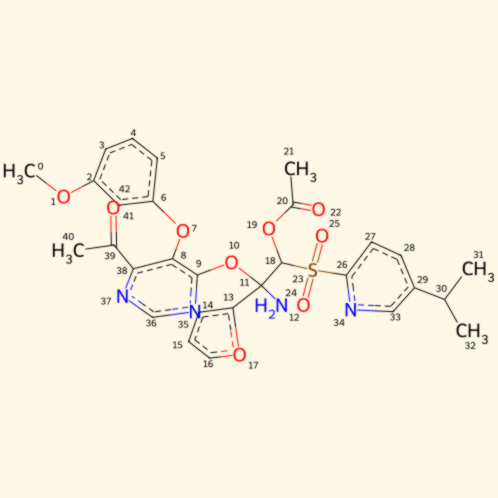 COc1cccc(Oc2c(OC(N)(c3ccco3)C(OC(C)=O)S(=O)(=O)c3ccc(C(C)C)cn3)ncnc2C(C)=O)c1